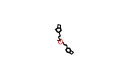 CC(C)(/C=C/c1ccc2c(c1)CC2)OC/C=C/c1ccc2c(c1)CC2